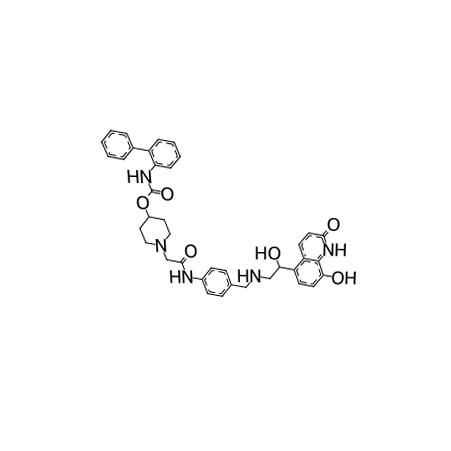 O=C(CN1CCC(OC(=O)Nc2ccccc2-c2ccccc2)CC1)Nc1ccc(CNCC(O)c2ccc(O)c3[nH]c(=O)ccc23)cc1